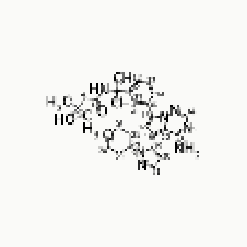 CC(C)(O)CC(=O)NC(C)(C)c1cccc(-c2cc(-c3ccnn3C3CCOCC3)c3c(N)ncnn23)c1